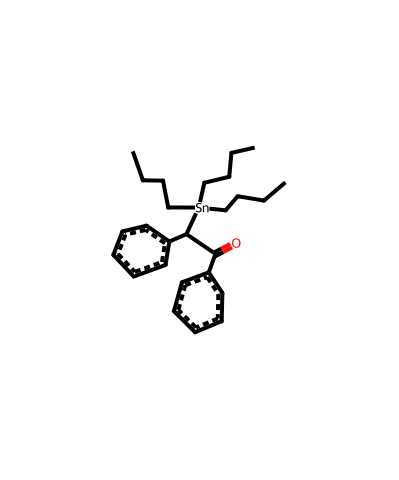 CCC[CH2][Sn]([CH2]CCC)([CH2]CCC)[CH](C(=O)c1ccccc1)c1ccccc1